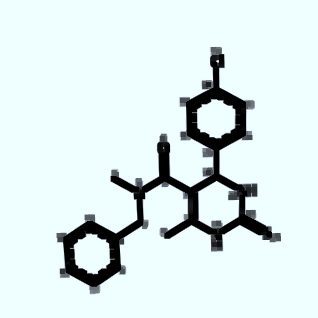 CC1=C(C(=O)N(C)Cc2ccccc2)C(c2ccc(Cl)cc2)NC(=S)N1